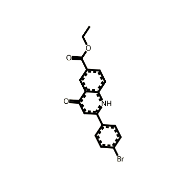 CCOC(=O)c1ccc2[nH]c(-c3ccc(Br)cc3)cc(=O)c2c1